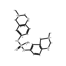 CCCP(=O)(Oc1ccc2c(c1)CN(C)CO2)Oc1ccc2c(c1)CN(C)CO2